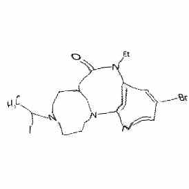 CCN1C(=O)C2CN(C(C)I)CCN2c2ncc(Br)cc21